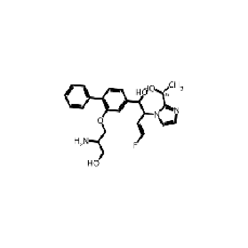 C[C@H](O)c1nccn1C(C=CF)C(O)c1ccc(-c2ccccc2)c(OCC(N)CO)c1